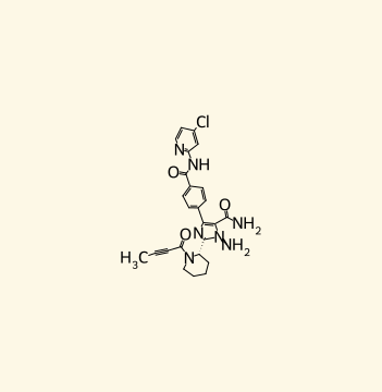 CC#CC(=O)N1CCCC[C@H]1c1nc(-c2ccc(C(=O)Nc3cc(Cl)ccn3)cc2)c(C(N)=O)n1N